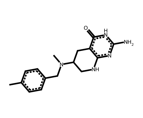 Cc1ccc(CN(C)C2CNc3nc(N)[nH]c(=O)c3C2)cc1